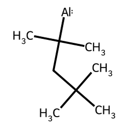 CC(C)(C)C[C](C)(C)[Al]